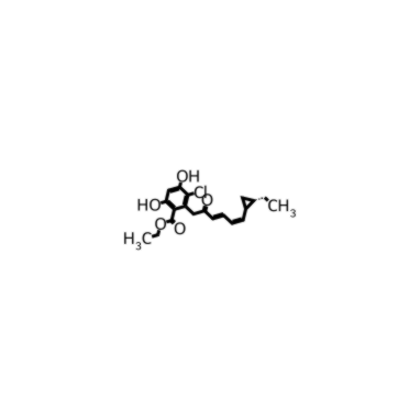 CCOC(=O)c1c(O)cc(O)c(Cl)c1CC(=O)/C=C/C=C\C1C[C@@H]1CC